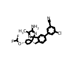 CC1=NC2(N=C1N)c1cc(-c3cc(Cl)cc(C#N)c3)ccc1C[C@]21CC[C@@H](OC(F)F)CC1